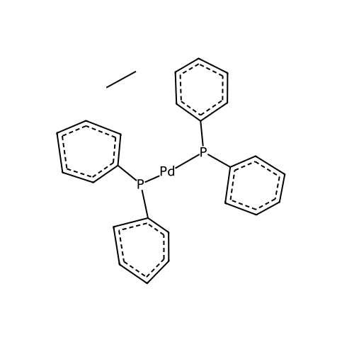 CC.c1ccc([P]([Pd][P](c2ccccc2)c2ccccc2)c2ccccc2)cc1